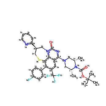 C[C@@H]1CN(c2nc(=O)n3c4c(c(-c5ccc(F)cc5)c(C(F)(F)F)cc24)SC[C@@H](c2ccccn2)C3)C[C@H](C)N1C(=O)OC(C)(C)C